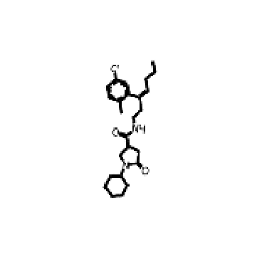 CCC/C=C(/CCNC(=O)C1CC(=O)N(C2CCCCC2)C1)c1cc(Cl)ccc1C